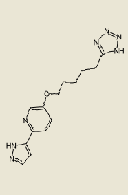 c1cc(-c2ccc(OCCCCCc3nnn[nH]3)cn2)[nH]n1